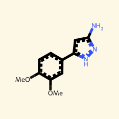 COc1ccc(-c2cc(N)n[nH]2)cc1OC